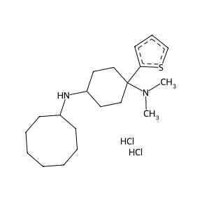 CN(C)C1(c2cccs2)CCC(NC2CCCCCCC2)CC1.Cl.Cl